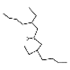 CCCCC(CC)CN(O)CC(CC)CCCC